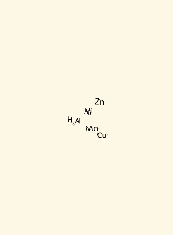 [AlH3].[Cu].[Mn].[Ni].[Zn]